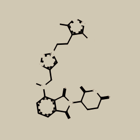 Cc1noc(C)c1CCn1cc(CN(C)c2cccc3c2C(=O)N(C2CCC(=O)NC2=O)C3=O)nn1